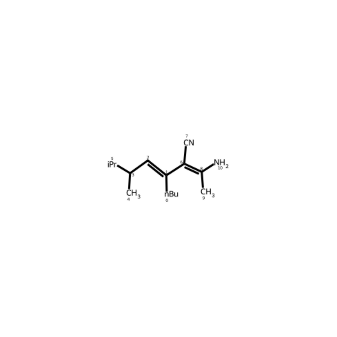 CCCCC(=C\C(C)C(C)C)/C(C#N)=C(\C)N